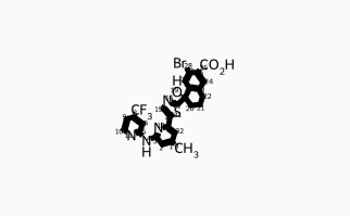 Cc1cc(Nc2cc(C(F)(F)F)ccn2)nc(-c2cnc([C@]3(O)CCCc4cc(C(=O)O)c(Br)cc43)s2)c1